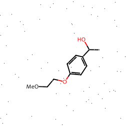 COCCOc1ccc(C(C)O)cc1